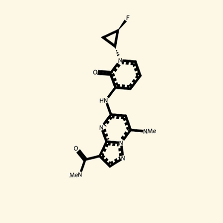 CNC(=O)c1cnn2c(NC)cc(Nc3cccn([C@@H]4C[C@H]4F)c3=O)nc12